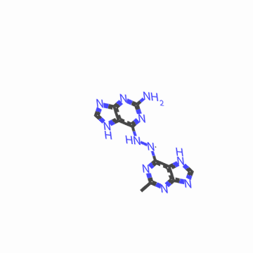 Cc1nc([N]Nc2nc(N)nc3nc[nH]c23)c2[nH]cnc2n1